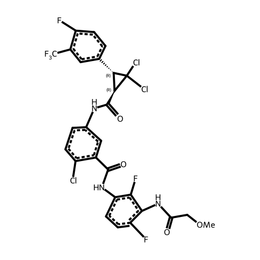 COCC(=O)Nc1c(F)ccc(NC(=O)c2cc(NC(=O)[C@H]3[C@H](c4ccc(F)c(C(F)(F)F)c4)C3(Cl)Cl)ccc2Cl)c1F